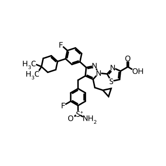 CC1(C)CC=C(c2cc(-c3nn(-c4nc(C(=O)O)cs4)c(CC4CC4)c3Cc3ccc([S+](N)[O-])c(F)c3)ccc2F)CC1